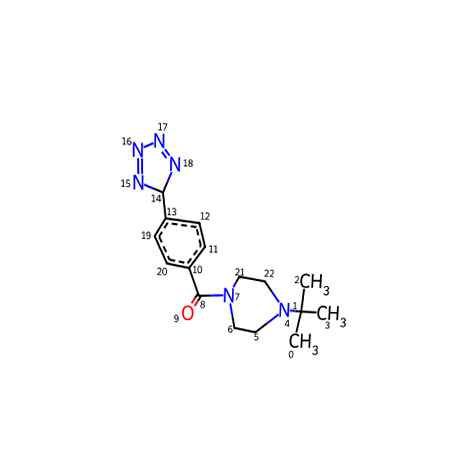 CC(C)(C)N1CCN(C(=O)c2ccc(C3N=NN=N3)cc2)CC1